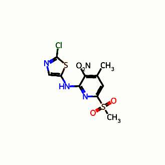 Cc1cc(S(C)(=O)=O)nc(Nc2cnc(Cl)s2)c1[N+](=O)[O-]